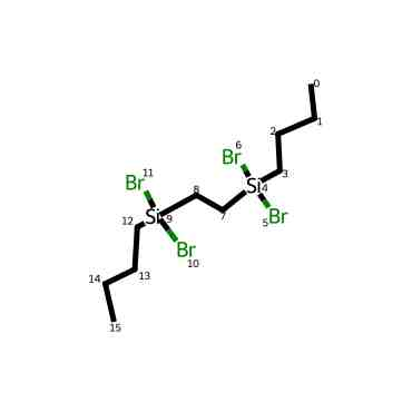 CCCC[Si](Br)(Br)CC[Si](Br)(Br)CCCC